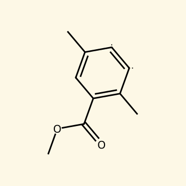 COC(=O)c1cc(C)[c][c]c1C